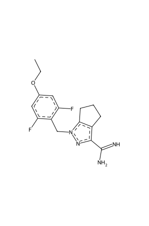 CCOc1cc(F)c(Cn2nc(C(=N)N)c3c2CCC3)c(F)c1